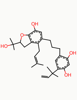 C=CC(C)(C)c1cc(CCCc2cc(O)c3c(c2CC=C(C)C)CC(C(C)(C)O)O3)c(O)cc1O